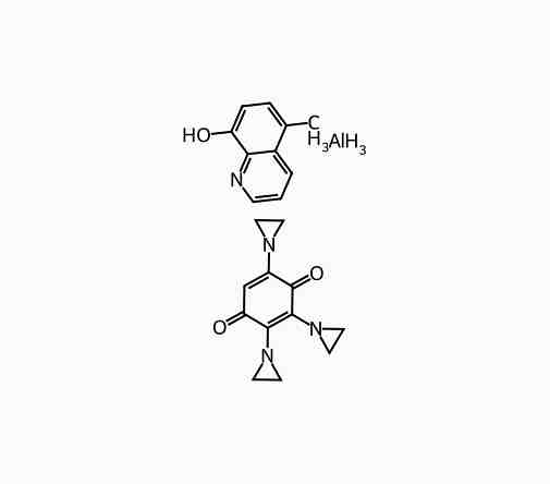 Cc1ccc(O)c2ncccc12.O=C1C=C(N2CC2)C(=O)C(N2CC2)=C1N1CC1.[AlH3]